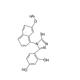 CCCOc1ccc2cccc(-n3c(S)nnc3-c3ccc(O)cc3O)c2c1